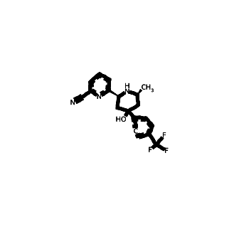 C[C@H]1CC(O)(c2ccc(C(F)(F)F)cc2)C[C@@H](c2cccc(C#N)n2)N1